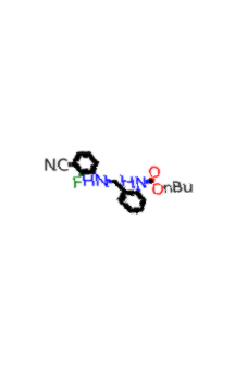 CCCCOC(=O)Nc1ccccc1CNc1cccc(C#N)c1F